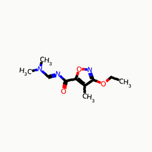 CCOc1noc(C(=O)N=CN(C)C)c1C